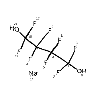 OC(F)(F)C(F)(F)C(F)(F)C(O)(F)F.[Na]